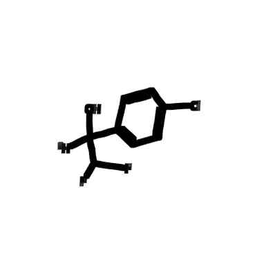 [2H]C(O)(c1ccc(Cl)cc1)C(F)F